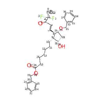 CCCCC(F)(F)C(=O)/C=C/[C@@H]1[C@@H](CCCCCCC(=O)OCc2ccccc2)[C@@H](O)C[C@H]1OCc1ccccc1